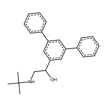 CC(C)(C)NCC(O)c1cc(-c2ccccc2)cc(-c2ccccc2)c1